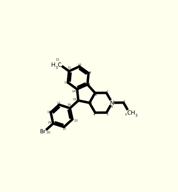 CCN1CCC2C(C1)c1ccc(C)cc1C2c1ccc(Br)cc1